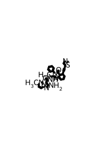 Cc1ccc2nc(N)c(C(=O)N[C@@H](C)c3nc4cccc(C#Cc5cncs5)c4c(=O)n3-c3ccccc3)n2n1